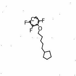 Fc1ccc(F)c(OCCCCCC2CCCC2)c1F